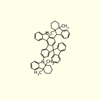 CC12CCCCC1(C)C(c1cc3c(c4c1oc1ccccc14)-c1ccc(N4c5ccccc5C5(C)CCCCC45C)cc1C31c3ccccc3-c3ccccc31)c1ccccc12